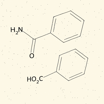 NC(=O)c1ccccc1.O=C(O)c1ccccc1